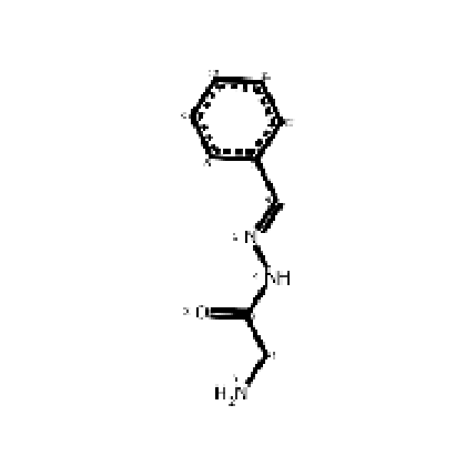 NCC(=O)NN=Cc1ccccc1